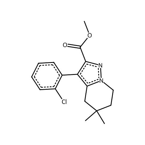 COC(=O)c1nn2c(c1-c1ccccc1Cl)CC(C)(C)CC2